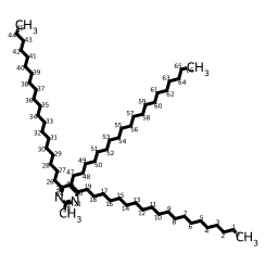 CCCCCCCCCCCCCCCCCCCCc1nc(C)nc(CCCCCCCCCCCCCCCCCCCC)c1CCCCCCCCCCCCCCCCCCCC